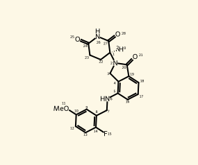 [2H][C@]1(N2Cc3c(NCc4cc(OC)ccc4F)cccc3C2=O)CCC(=O)NC1=O